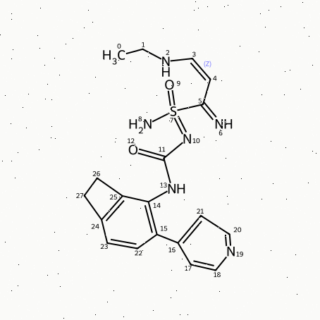 CCN/C=C\C(=N)S(N)(=O)=NC(=O)Nc1c(-c2ccncc2)ccc2c1CC2